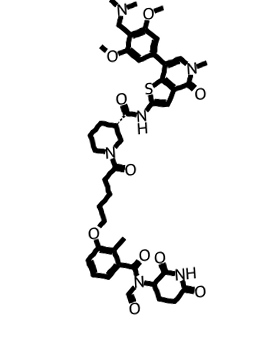 COc1cc(-c2cn(C)c(=O)c3cc(NC(=O)[C@H]4CCCN(C(=O)CCCCOc5cccc(C(=O)N(C=O)C6CCC(=O)NC6=O)c5C)C4)sc23)cc(OC)c1CN(C)C